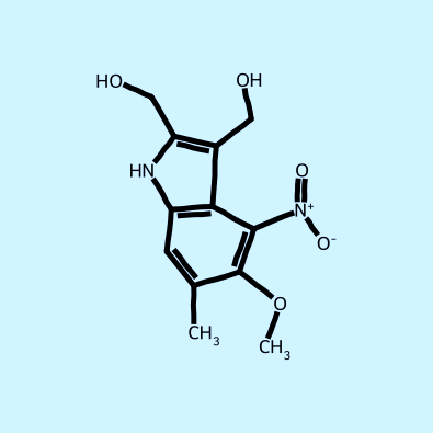 COc1c(C)cc2[nH]c(CO)c(CO)c2c1[N+](=O)[O-]